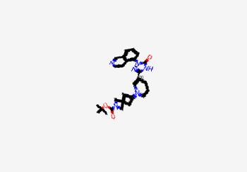 CC(C)(C)OC(=O)N1CC2(CC(N3CCC[C@H](c4nn(-c5cccc6cnccc56)c(=O)[nH]4)C3)C2)C1